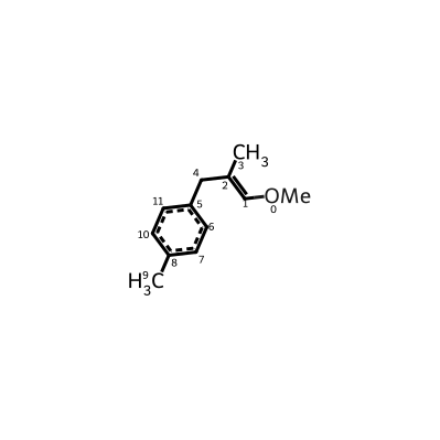 COC=C(C)Cc1ccc(C)cc1